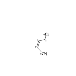 N#C/C=C\CCl